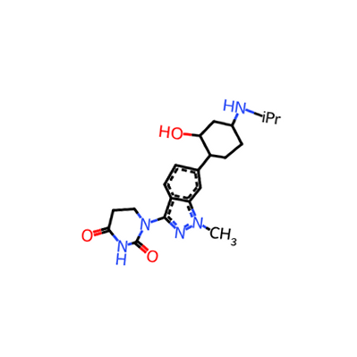 CC(C)NC1CCC(c2ccc3c(N4CCC(=O)NC4=O)nn(C)c3c2)C(O)C1